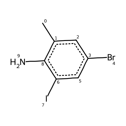 Cc1cc(Br)cc(I)c1N